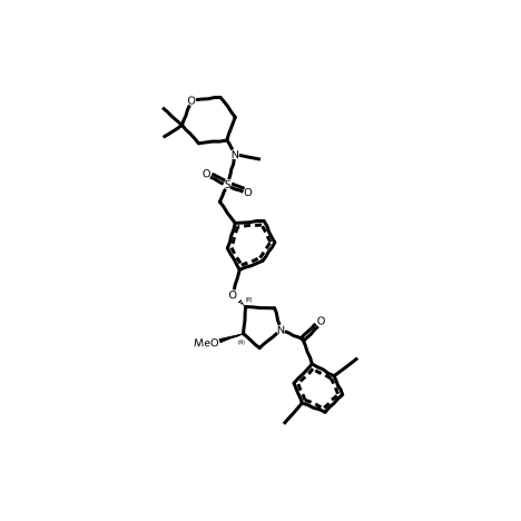 CO[C@@H]1CN(C(=O)c2cc(C)ccc2C)C[C@H]1Oc1cccc(CS(=O)(=O)N(C)C2CCOC(C)(C)C2)c1